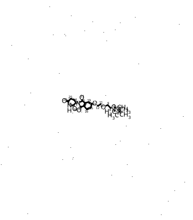 CC(C)(C)[Si](C)(C)OCCOCCOc1ccc2c(c1)C(=O)N(C1CCC(=O)NC1=O)C2=O